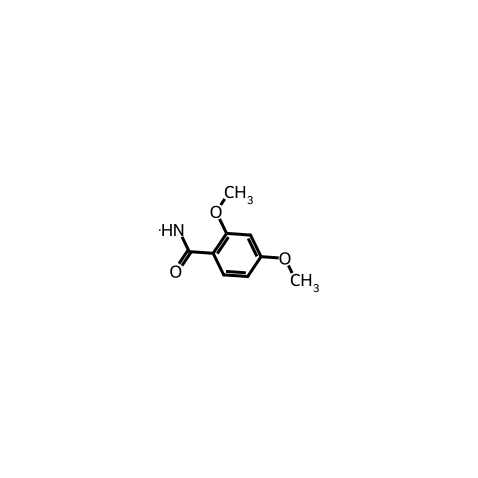 COc1ccc(C([NH])=O)c(OC)c1